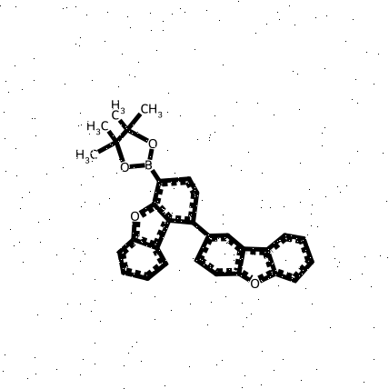 CC1(C)OB(c2ccc(-c3ccc4oc5ccccc5c4c3)c3c2oc2ccccc23)OC1(C)C